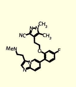 CNCCc1cnc2ccc(-c3ccc(F)cc3OCCc3c(C#N)nn(C)c3C)cn12